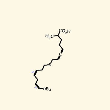 CCCC/C=C\C/C=C\CCSCC=C=CCCC(C)C(=O)O